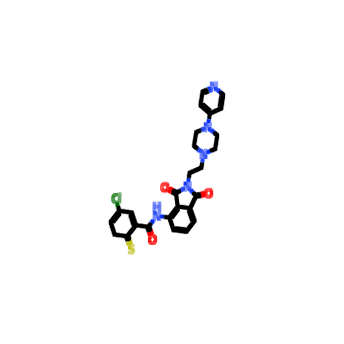 O=C(Nc1cccc2c1C(=O)N(CCN1CCN(c3ccncc3)CC1)C2=O)C1=CC(Cl)=CCC1=S